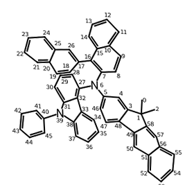 CC1(C)c2cc(N(c3ccc4ccccc4c3-c3ccc4ccccc4c3)c3cccc4c3c3ccccc3n4-c3ccccc3)ccc2-c2cc3ccccc3cc21